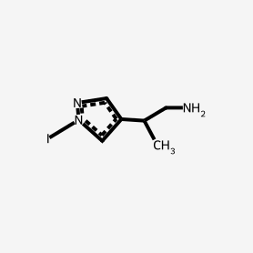 CC(CN)c1cnn(I)c1